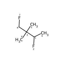 CC(F)C(C)(C)CF